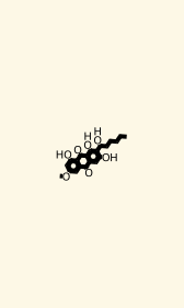 CCCCCC(O)c1c(O)cc2c(c1O)C(=O)c1c(O)cc(OC)cc1C2=O